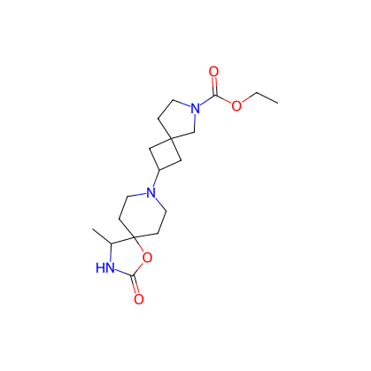 CCOC(=O)N1CCC2(CC(N3CCC4(CC3)OC(=O)NC4C)C2)C1